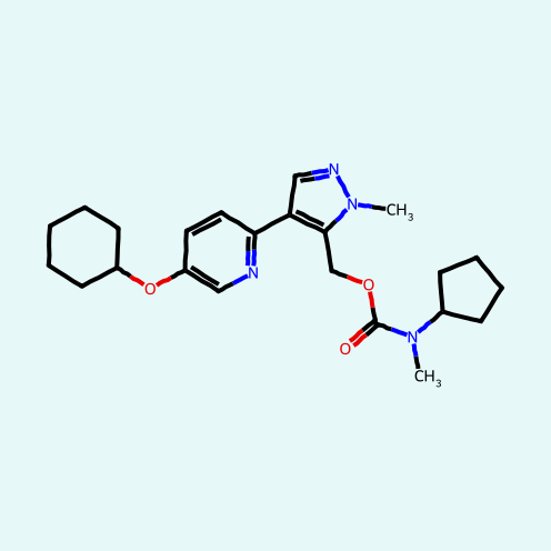 CN(C(=O)OCc1c(-c2ccc(OC3CCCCC3)cn2)cnn1C)C1CCCC1